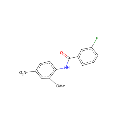 COc1cc([N+](=O)[O-])ccc1NC(=O)c1cccc(F)c1